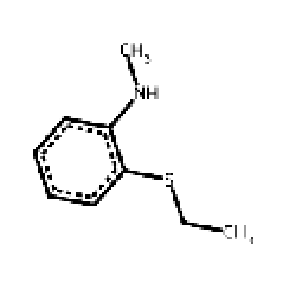 CCSc1ccccc1NC